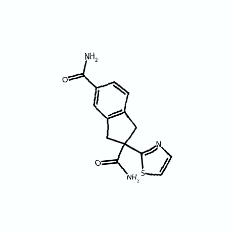 NC(=O)c1ccc2c(c1)CC(C(N)=O)(c1nccs1)C2